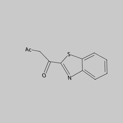 CC(=O)CC(=O)c1nc2ccccc2s1